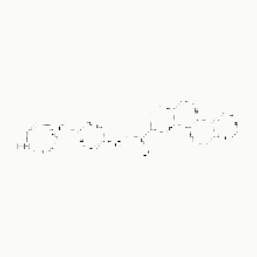 C1=CC=CNC=C1.O=C(COc1ccc(Cl)cc1)C1C=c2c(ccc3c2=CCc2ccccc2-3)CC1